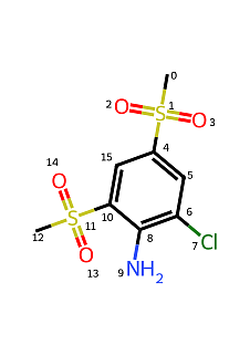 CS(=O)(=O)c1cc(Cl)c(N)c(S(C)(=O)=O)c1